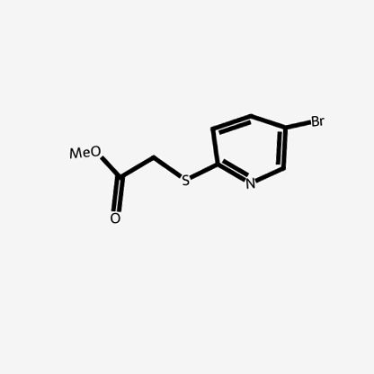 COC(=O)CSc1ccc(Br)cn1